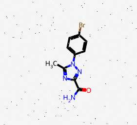 Cc1nc(C(N)=O)nn1-c1ccc(Br)cc1